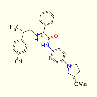 CO[C@H]1CCN(c2ccc(NC(=O)[C@@H](NCC(C)c3ccc(C#N)cc3)c3ccccc3)nc2)C1